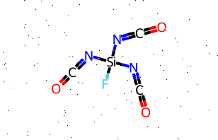 O=C=N[Si](F)(N=C=O)N=C=O